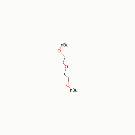 [CH2]CCCOCCOCCOCCCC